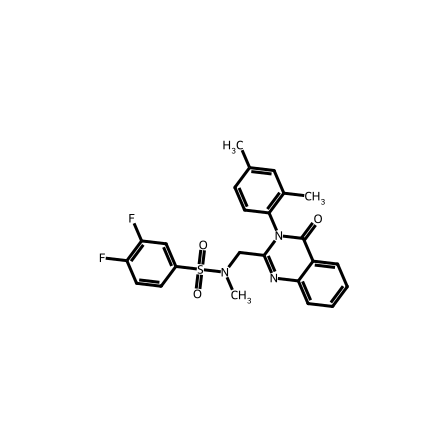 Cc1ccc(-n2c(CN(C)S(=O)(=O)c3ccc(F)c(F)c3)nc3ccccc3c2=O)c(C)c1